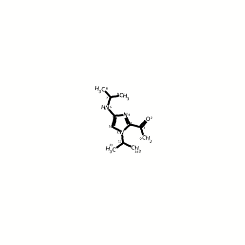 CC(=O)c1nc(NC(C)C)cn1C(C)C